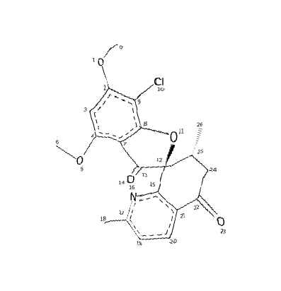 COc1cc(OC)c2c(c1Cl)O[C@]1(C2=O)c2nc(C)ccc2C(=O)C[C@H]1C